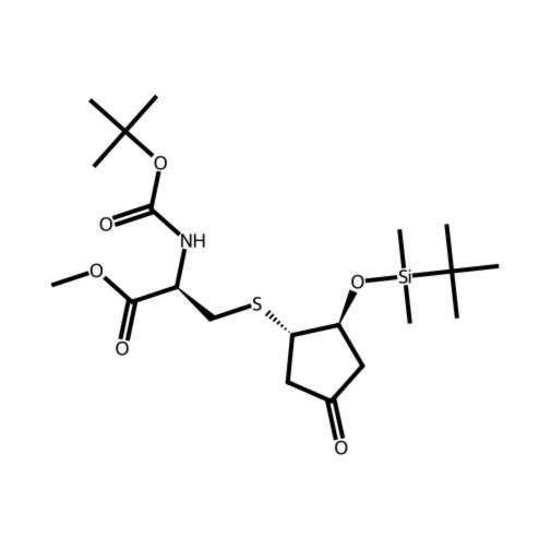 COC(=O)[C@H](CS[C@H]1CC(=O)C[C@@H]1O[Si](C)(C)C(C)(C)C)NC(=O)OC(C)(C)C